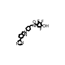 O=C(NCC1CCC(n2cc3ccc(-c4cnccn4)cc3n2)CC1)c1cc(F)c(O)c(F)c1F